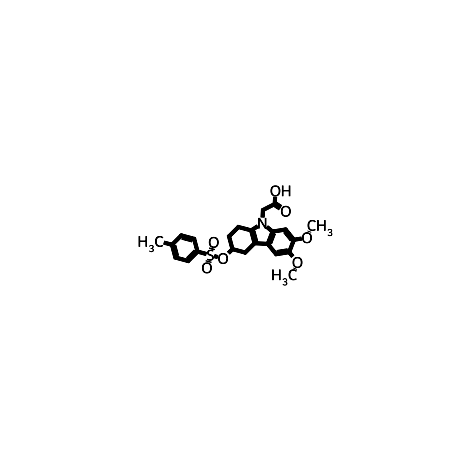 COc1cc2c3c(n(CC(=O)O)c2cc1OC)CCC(OS(=O)(=O)c1ccc(C)cc1)C3